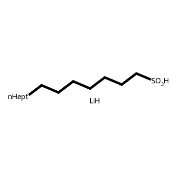 CCCCCCCCCCCCCCS(=O)(=O)O.[LiH]